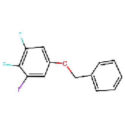 Fc1cc(OCc2ccccc2)cc(I)c1F